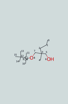 CCCC(C)(CO)CO[Si](C)(C)C(C)(C)C